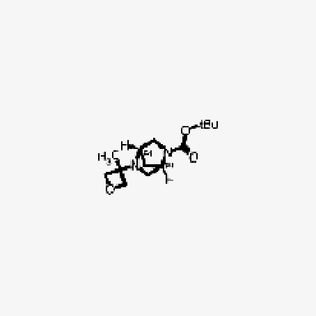 CC(C)(C)OC(=O)N1C[C@@H]2C[C@H]1CN2C1(C)COC1